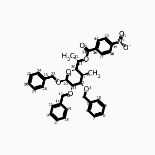 C[C@H]1[C@H](OCc2ccccc2)[C@H](OCc2ccccc2)[C@@H](OCc2ccccc2)O[C@@H]1[C@H](C)OC(=O)c1ccc([N+](=O)[O-])cc1